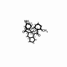 Cc1cccc(F)c1C(=O)N1C2CCCC2CC(C(=O)O)C1(C)c1ccc(N)cc1